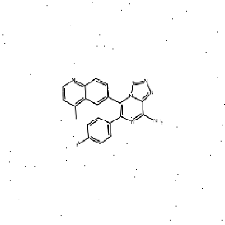 Cc1ccnc2ccc(-c3c(-c4ccc(F)cc4)nc(N)c4nnnn34)cc12